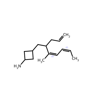 C=CCC(CC1CC(N)C1)/C(C)=C\C=C/C